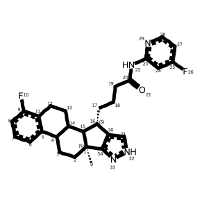 C[C@]12CCC3c4cccc(F)c4CCC3C1[C@H](CCCC(=O)Nc1cc(F)ccn1)c1c[nH]nc12